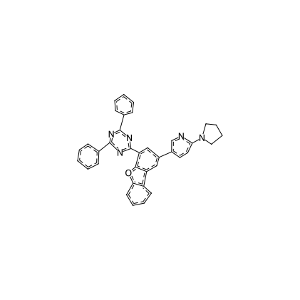 c1ccc(-c2nc(-c3ccccc3)nc(-c3cc(-c4ccc(N5CCCC5)nc4)cc4c3oc3ccccc34)n2)cc1